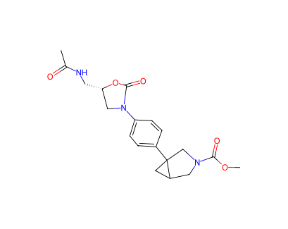 COC(=O)N1CC2CC2(c2ccc(N3C[C@H](CNC(C)=O)OC3=O)cc2)C1